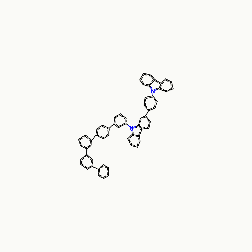 c1ccc(-c2cccc(-c3cccc(-c4ccc(-c5cccc(-n6c7ccccc7c7ccc(-c8ccc(-n9c%10ccccc%10c%10ccccc%109)cc8)cc76)c5)cc4)c3)c2)cc1